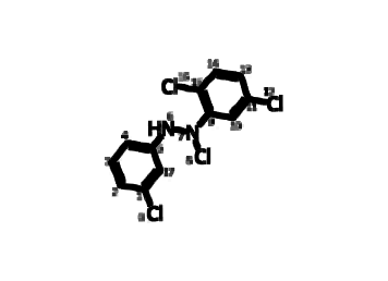 Clc1cccc(NN(Cl)c2cc(Cl)ccc2Cl)c1